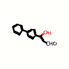 O=CC=C(O)c1ccc(-c2ccccc2)cc1